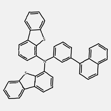 c1cc(-c2cccc3ccccc23)cc(N(c2cccc3c2sc2ccccc23)c2cccc3c2sc2ccccc23)c1